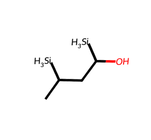 CC([SiH3])CC(O)[SiH3]